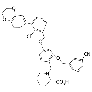 N#Cc1cccc(COc2cc(OCc3cccc(-c4ccc5c(c4)OCCO5)c3Cl)ccc2CN2CCCC[C@H]2C(=O)O)c1